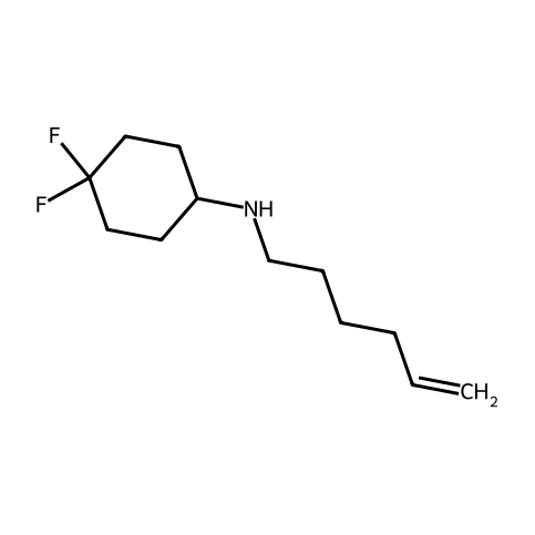 C=CCCCCNC1CCC(F)(F)CC1